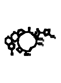 COC1/C=C/CC(C)C(C)S(=O)(NC(=O)c2cnn(C)c2)=NC(=O)c2ccc3c(c2)N(CC2CCC21)CC1(CO3)SCCc2cc(Cl)ccc21